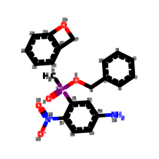 CP(=O)(OCc1ccccc1)c1cc(N)ccc1[N+](=O)[O-].c1ccc2c(c1)CO2